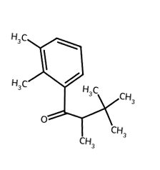 Cc1cccc(C(=O)C(C)C(C)(C)C)c1C